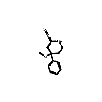 COC1(c2ccccc2)CCNC(=C=O)C1